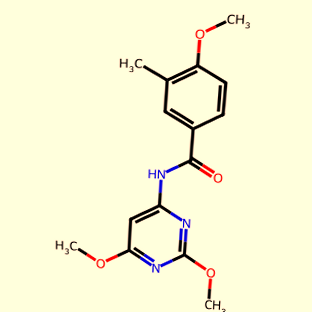 COc1cc(NC(=O)c2ccc(OC)c(C)c2)nc(OC)n1